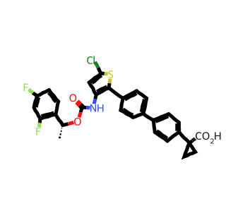 C[C@@H](OC(=O)Nc1cc(Cl)sc1-c1ccc(-c2ccc(C3(C(=O)O)CC3)cc2)cc1)c1ccc(F)cc1F